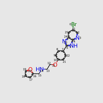 Brc1cnc2[nH]c(-c3ccc(OCCNCc4ccco4)cc3)nc2c1